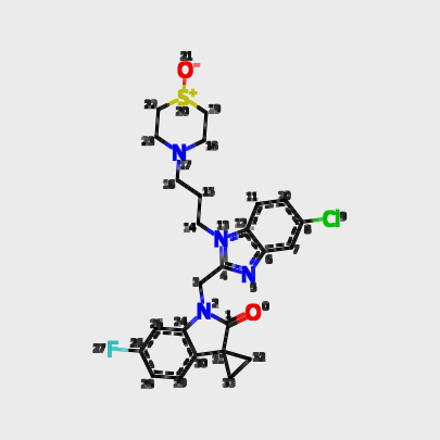 O=C1N(Cc2nc3cc(Cl)ccc3n2CCCN2CC[S+]([O-])CC2)c2cc(F)ccc2C12CC2